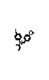 CCC(C)N(Cc1ccc(OC)cc1)c1ccc(I)cc1